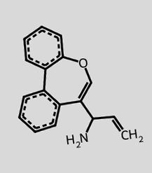 C=CC(N)C1=COc2ccccc2-c2ccccc21